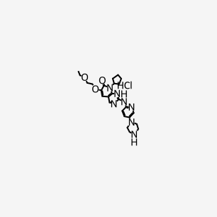 CCOCCOc1cc2cnc(Nc3ccc(N4CCNCC4)cn3)nc2n(C2CCCC2)c1=O.Cl